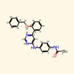 CC(C)(C)C(=O)Nc1ccc(Nc2cc(-c3ccccc3OCc3ccccc3)ncn2)cc1